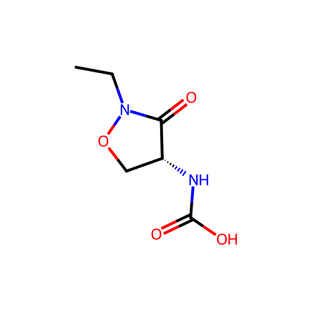 CCN1OC[C@@H](NC(=O)O)C1=O